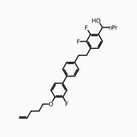 C=CCCCOc1ccc(-c2ccc(CCc3ccc(C(O)CCC)c(F)c3F)cc2)cc1F